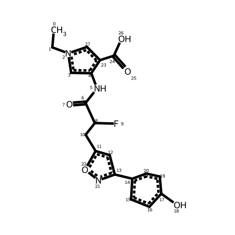 CCn1cc(NC(=O)C(F)Cc2cc(-c3ccc(O)cc3)no2)c(C(=O)O)c1